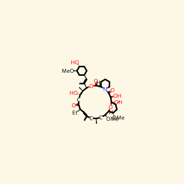 CC[C@@H]1/C=C(\C)C[C@H](C)C[C@H](OC)[C@H]2O[C@@](O)(C(O)C(=O)N3CCCC[C@H]3C(=O)O[C@H](/C(C)=C/[C@@H]3CC[C@@H](O)[C@H](OC)C3)[C@H](C)[C@@H](O)CC1=O)[C@H](C)C[C@@H]2OC